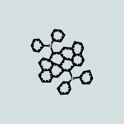 c1ccc(N(c2ccccc2)c2c3ccc4cccc5cc6c(N(c7ccccc7)c7ccccc7)c7ccc8cccc9cc2c(c7c89)c6c3c45)cc1